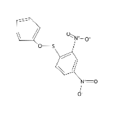 O=[N+]([O-])c1ccc(SOc2ccccc2)c([N+](=O)[O-])c1